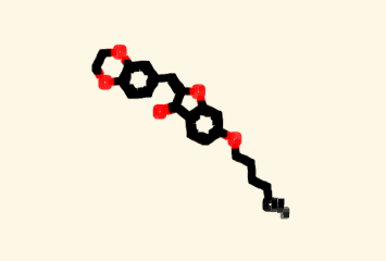 CCCCCOc1ccc2c(c1)OC(=Cc1ccc3c(c1)OCCO3)C2=O